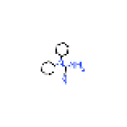 N#CC(N)N(C1CCCCC1)C1CCCCC1